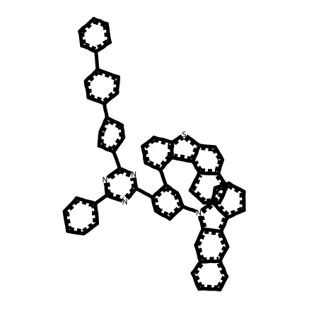 c1ccc(-c2ccc(-c3ccc(-c4nc(-c5ccccc5)nc(-c5ccc(-n6c7ccccc7c7cc8ccccc8cc76)cc5-c5cccc6sc7ccc8ccccc8c7c56)n4)cc3)cc2)cc1